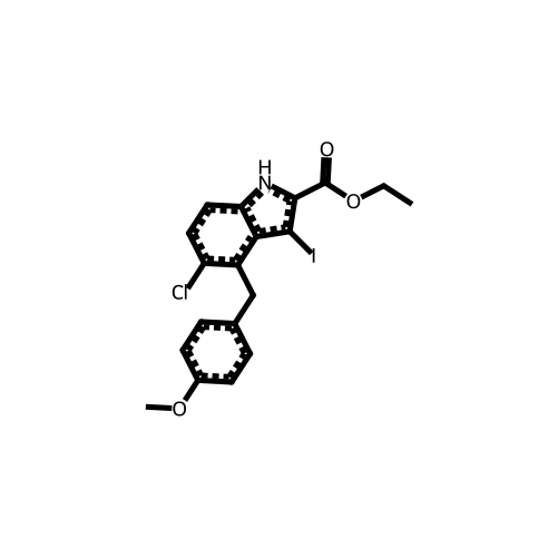 CCOC(=O)c1[nH]c2ccc(Cl)c(Cc3ccc(OC)cc3)c2c1I